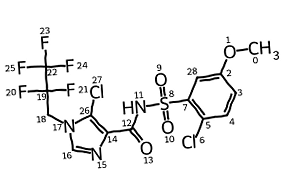 COc1ccc(Cl)c(S(=O)(=O)NC(=O)c2ncn(CC(F)(F)C(F)(F)F)c2Cl)c1